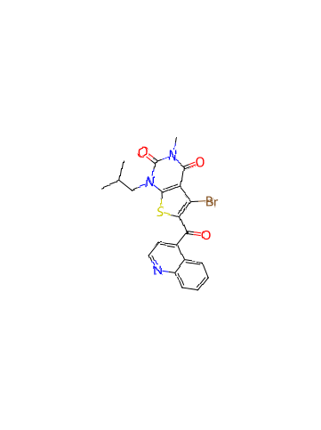 CC(C)Cn1c(=O)n(C)c(=O)c2c(Br)c(C(=O)c3ccnc4ccccc34)sc21